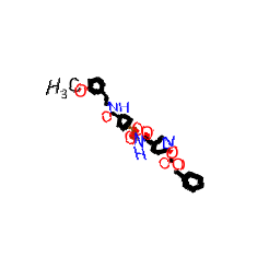 COc1cccc(CCNC(=O)c2ccc(S(=O)(=O)NC(=O)c3ccc(OC(=O)OCc4ccccc4)nc3)cc2)c1